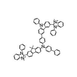 C[n+]1c(-c2ccc3c(c2)C(C)(C)c2cc(N(c4ccc(-c5ccccc5)cc4)c4ccc(-c5ccc6c(c5)c5cc(-c7n(-c8ccccc8)c8ccccc8[n+]7C)ccc5n6-c5ccccc5)cc4)ccc2-3)n(-c2ccccc2)c2ccccc21